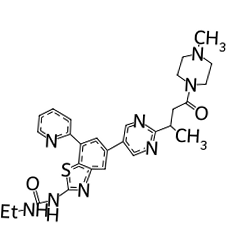 CCNC(=O)Nc1nc2cc(-c3cnc(C(C)CC(=O)N4CCN(C)CC4)nc3)cc(-c3ccccn3)c2s1